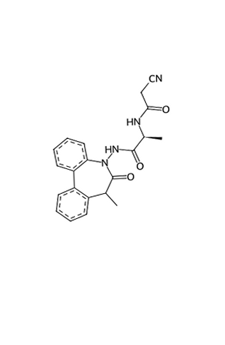 CC1C(=O)N(NC(=O)[C@H](C)NC(=O)CC#N)c2ccccc2-c2ccccc21